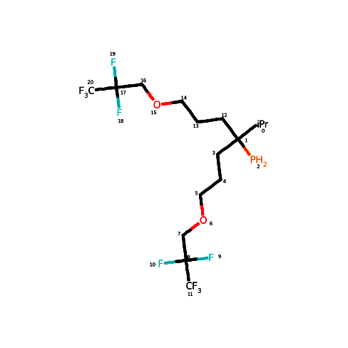 CC(C)C(P)(CCCOCC(F)(F)C(F)(F)F)CCCOCC(F)(F)C(F)(F)F